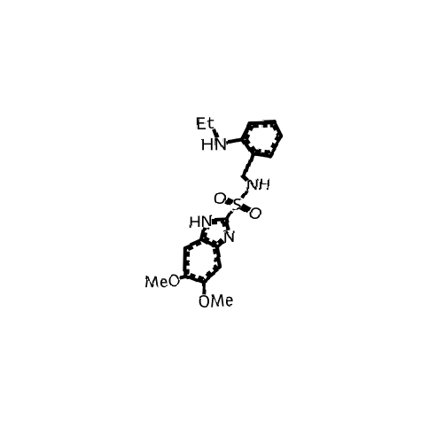 CCNc1ccccc1CNS(=O)(=O)c1nc2cc(OC)c(OC)cc2[nH]1